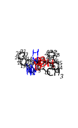 CCCCC(C(=O)O)n1nnnc1C(Cc1cccc2ccccc12)NC(=O)OCC1c2ccccc2-c2ccccc21